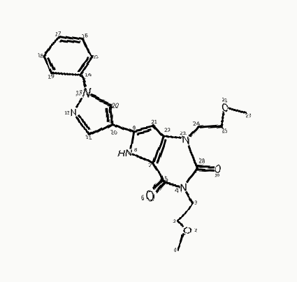 COCCn1c(=O)c2[nH]c(-c3cnn(-c4ccccc4)c3)cc2n(CCOC)c1=O